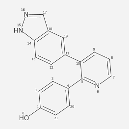 Oc1ccc(-c2ncccc2-c2ccc3[nH]ncc3c2)cc1